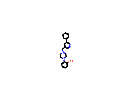 Oc1ccccc1N1CCN(Cc2cncc(-c3ccccc3)c2)CC1